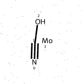 N#CO.[Mo]